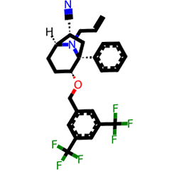 C=CCN1[C@H]2CC[C@@H](OCc3cc(C(F)(F)F)cc(C(F)(F)F)c3)[C@]1(c1ccccc1)C[C@H]2C#N